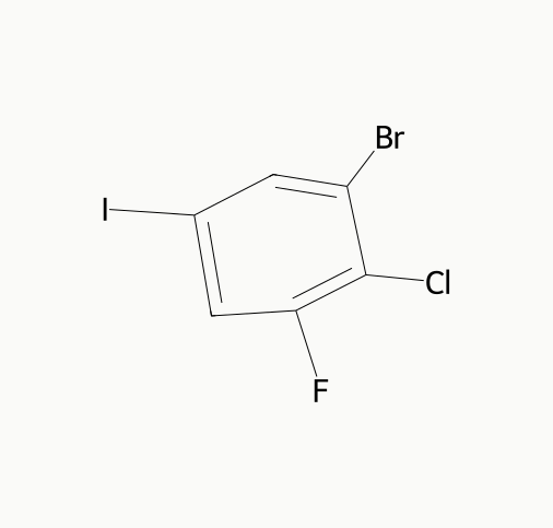 Fc1cc(I)cc(Br)c1Cl